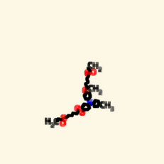 C=CC(=O)OCCCCCC(=O)Oc1ccc(N(c2ccc(C)cc2)c2ccc(OC(=C)CCCCOC(=O)C=C)cc2)cc1